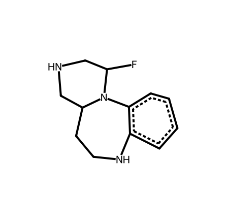 FC1CNCC2CCNc3ccccc3N12